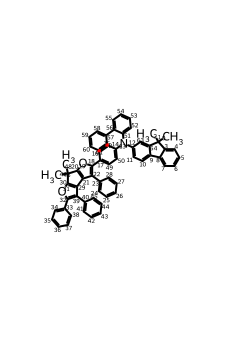 CC1(C)c2ccccc2-c2ccc(N(c3ccc(-c4oc5c(c4-c4ccccc4)-c4c(oc(-c6ccccc6)c4-c4ccccc4)C5(C)C)cc3)c3ccccc3-c3ccccc3)cc21